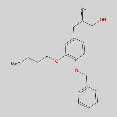 COCCCOc1cc(C[C@H](CO)C(C)C)ccc1OCc1ccccc1